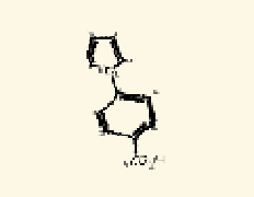 O=C(O)c1ccc([SH]2C=CC=C2)cc1